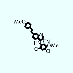 COc1ccc(C=Cc2ccc3c(Nc4cc(OC)c(Cl)cc4Cl)c(C#N)cnc3c2)cc1